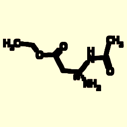 CCOC(=O)C[C@@H](N)NC(C)=O